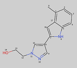 Cc1cccc2[nH]c(-c3cnn(CCO)c3)cc12